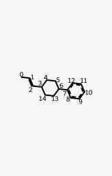 CC=CC1CCC(c2ccccc2)CC1